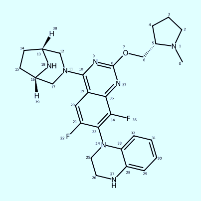 CN1CCC[C@H]1COc1nc(N2C[C@H]3CC[C@@H](C2)N3)c2cc(F)c(N3CCNc4ccccc43)c(F)c2n1